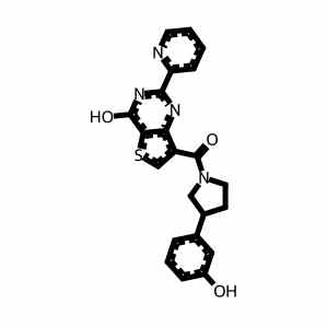 O=C(c1csc2c(O)nc(-c3ccccn3)nc12)N1CCC(c2cccc(O)c2)C1